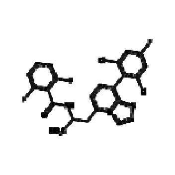 O=C(NC(Cc1ccc(-c2c(Cl)cc(F)cc2Cl)c2nccn12)C(=O)O)c1c(F)cccc1F